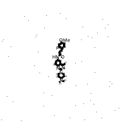 COc1ccc(C=CC(=O)Nc2ccc3nc(N4CCC(N(C)C)CC4)nc(C)c3c2)c(F)c1